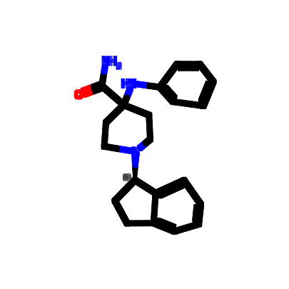 NC(=O)C1(Nc2ccccc2)CCN([C@@H]2CCc3ccccc32)CC1